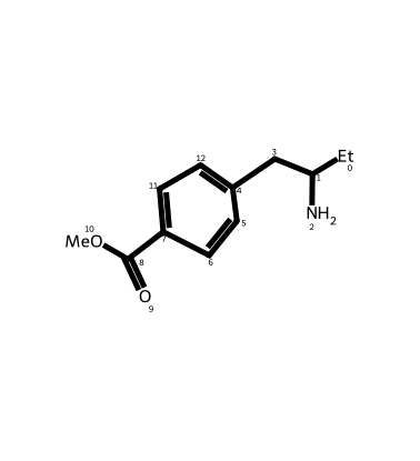 CCC(N)Cc1ccc(C(=O)OC)cc1